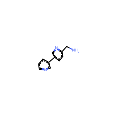 NCc1ccc(-c2cccnc2)cn1